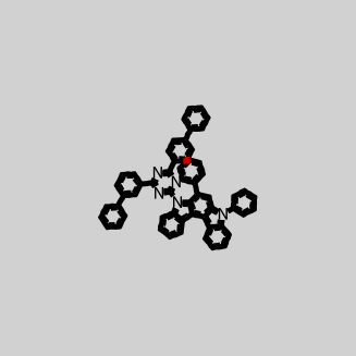 c1ccc(-c2ccc(-c3nc(-c4cccc(-c5ccccc5)c4)nc(-n4c5ccccc5c5c6c7ccccc7n(-c7ccccc7)c6cc(-c6ccccc6)c54)n3)cc2)cc1